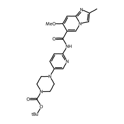 COc1cc2nc(C)cn2cc1C(=O)Nc1ccc(N2CCN(C(=O)OC(C)(C)C)CC2)cn1